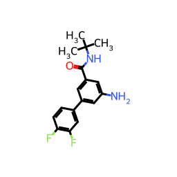 CC(C)(C)NC(=O)c1cc(N)cc(-c2ccc(F)c(F)c2)c1